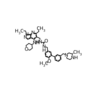 CCc1nc2c(cnn2CC)c(NC2CCOCC2)c1CNC(=O)NCc1ccc(OC)c(-c2cccc(CN3CCN[C@H](C)C3)c2)c1